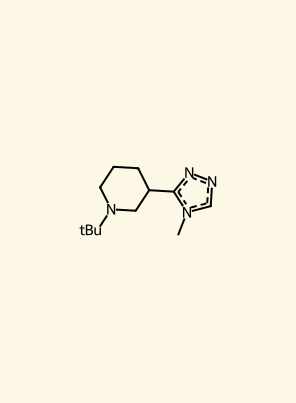 Cn1cnnc1C1CCCN(C(C)(C)C)C1